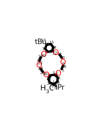 CC(C)C1(C)CCC2OCCOCCOC3CCC(C(C)(C)C)CC3OCCOCCOC2CC1